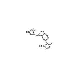 CCn1ncc(C)c1-c1ccc2c(c1)N(Cc1c[nH]cn1)CC2